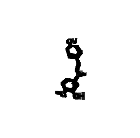 COc1ccc(N(C)CCc2ccc(O)cc2)cc1O